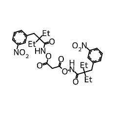 CCC(CC)(Cc1cccc([N+](=O)[O-])c1)C(=O)NOC(=O)CC(=O)ONC(=O)C(CC)(CC)Cc1cccc([N+](=O)[O-])c1